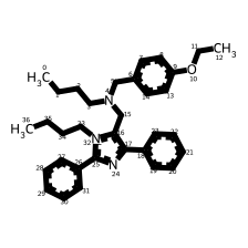 CCCCN(Cc1ccc(OCC)cc1)Cc1c(-c2ccccc2)nc(-c2ccccc2)n1CCCC